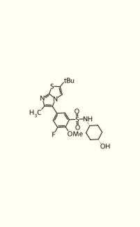 COc1c(F)cc(-c2c(C)nc3sc(C(C)(C)C)cn23)cc1S(=O)(=O)N[C@H]1CC[C@@H](O)CC1